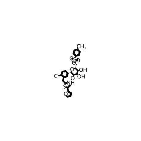 Cc1ccc(S(=O)(=O)OC[C@H]2O[C@@H](c3ccc(Cl)c(Cc4ncc(-c5ccco5)s4)c3)[C@H](O)[C@@H](O)[C@@H]2O)cc1